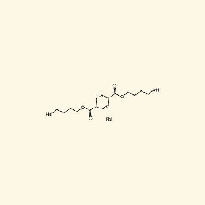 O=C(OCCCCO)c1ccc(C(=O)OCCCCO)cc1.[Pb]